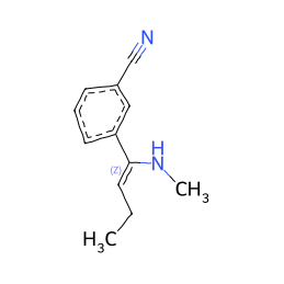 CC/C=C(\NC)c1cccc(C#N)c1